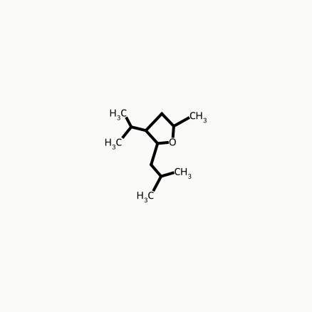 CC(C)CC1OC(C)CC1C(C)C